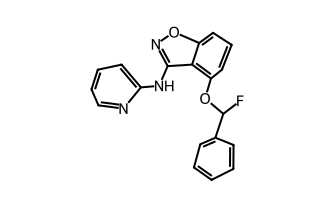 FC(Oc1cccc2onc(Nc3ccccn3)c12)c1ccccc1